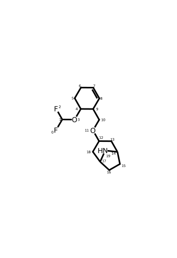 FC(F)OC1CCC=CC1COC1CC2CCC(C1)N2